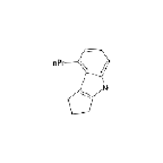 CCCc1cccc2c1C1=C(CCC1)[N]2